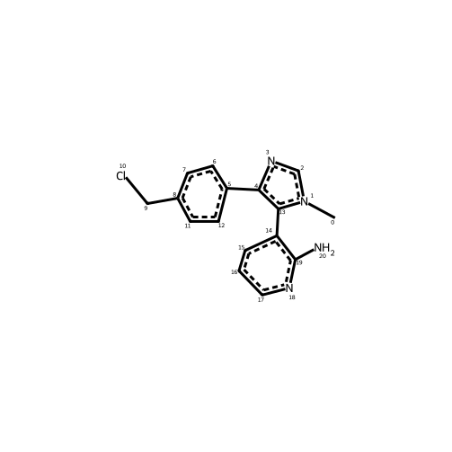 Cn1cnc(-c2ccc(CCl)cc2)c1-c1cccnc1N